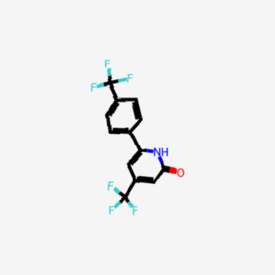 O=c1cc(C(F)(F)F)cc(-c2ccc(C(F)(F)F)cc2)[nH]1